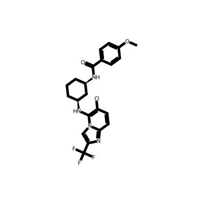 COc1ccc(C(=O)N[C@@H]2CCC[C@H](Nc3c(Cl)ccc4nc(C(F)(F)F)cn34)C2)cc1